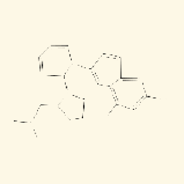 Cc1cc(O)nc2ccc(N3C=CC=CC3N3CCCC3CN(C)C)cc12